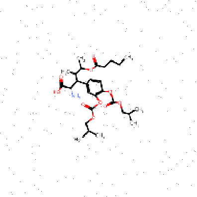 CCCCC(=O)OC(C)C(C)C(c1ccc(OC(=O)OCC(C)C)c(OC(=O)OCC(C)C)c1)[C@H](N)C(=O)O